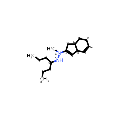 CCCC(CCC)NN(C)C1=CC2C=CCCC2C1